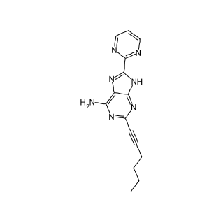 CCCCC#Cc1nc(N)c2nc(-c3ncccn3)[nH]c2n1